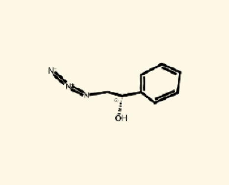 [N-]=[N+]=NC[C@@H](O)c1ccccc1